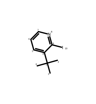 CC(C)(C)c1cccnc1I